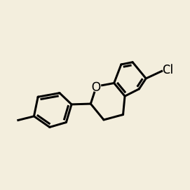 Cc1ccc(C2CCc3cc(Cl)ccc3O2)cc1